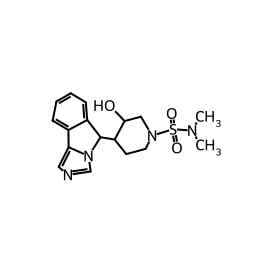 CN(C)S(=O)(=O)N1CCC(C2c3ccccc3-c3cncn32)C(O)C1